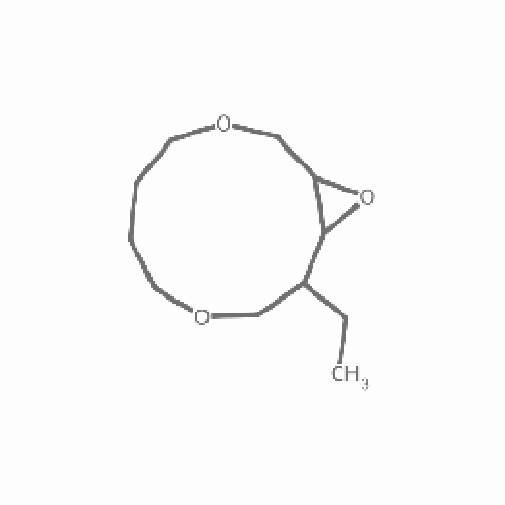 CCC1COCCCCOCC2OC12